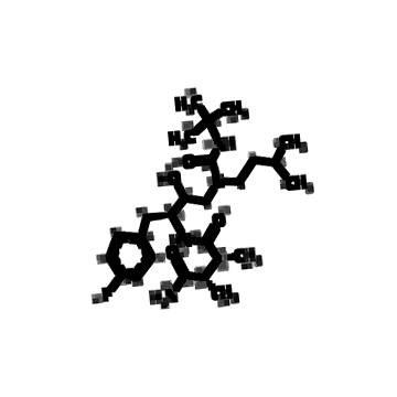 CC(C)CCN(CC(O)[C@H](Cc1ccc(F)cc1)NC(=O)[C@H](C)[C@H](C)C(N)=O)C(=O)NC(C)(C)C